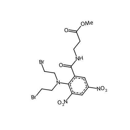 COC(=O)CCNC(=O)c1cc([N+](=O)[O-])cc([N+](=O)[O-])c1N(CCBr)CCBr